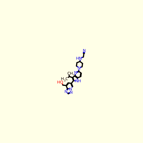 CC(C)c1c(-c2cc(CO)c3ncnn3c2)[nH]c2ccc(N3CCC(NCC#N)CC3)nc12